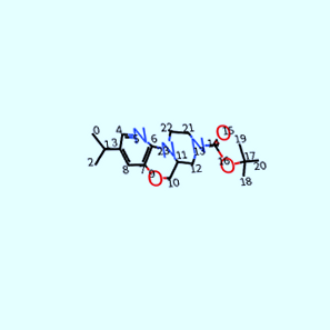 CC(C)c1cnc2c(c1)OCC1CN(C(=O)OC(C)(C)C)CCN21